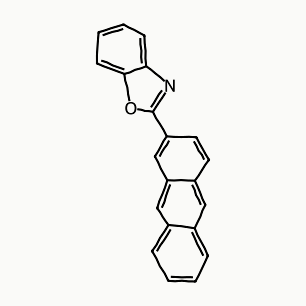 c1ccc2cc3cc(-c4nc5ccccc5o4)ccc3cc2c1